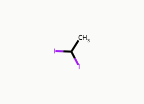 CC(I)I